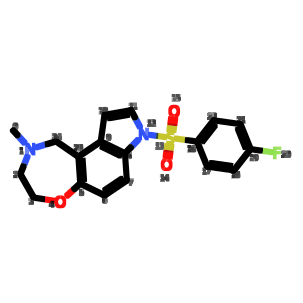 CN1CCOc2ccc3c(ccn3S(=O)(=O)c3ccc(F)cc3)c2C1